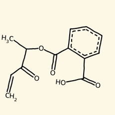 C=CC(=O)C(C)OC(=O)c1ccccc1C(=O)O